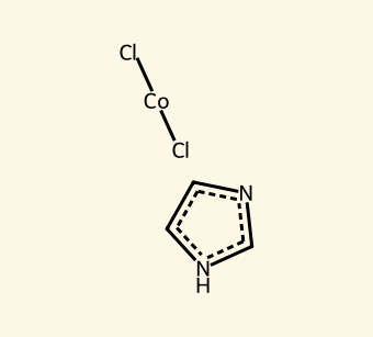 [Cl][Co][Cl].c1c[nH]cn1